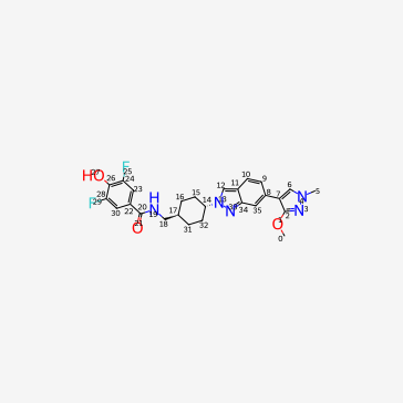 COc1nn(C)cc1-c1ccc2cn([C@H]3CC[C@H](CNC(=O)c4cc(F)c(O)c(F)c4)CC3)nc2c1